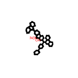 OC1(O)C2CC(C(C3CCC(C4CCCCC4)CC3)C3CC4CCCCC4C4CCCCC43)CCC2C2CCC(C3C4CCCCC4C4CCCCC43)CC21